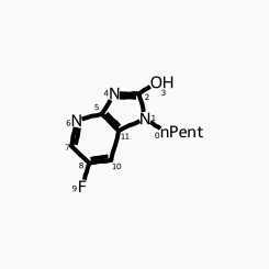 CCCCCn1c(O)nc2ncc(F)cc21